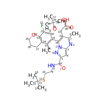 Cc1nc2cc(C(=O)NCCSC(C)(C)C)nn2c(-c2cc(F)c3c(c2C)CCCO3)c1[C@H](OC(C)(C)C)C(=O)O